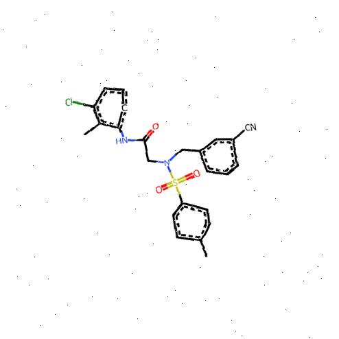 Cc1ccc(S(=O)(=O)N(CC(=O)Nc2cccc(Cl)c2C)Cc2cccc(C#N)c2)cc1